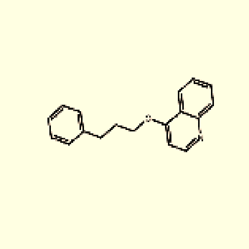 c1ccc(CCCOc2ccnc3ccccc23)cc1